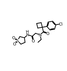 CCN(CC(=O)NC1CCS(=O)(=O)C1)C(=O)C1(c2ccc(Cl)cc2)CCC1